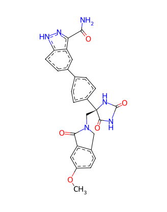 COc1ccc2c(c1)C(=O)N(C[C@@]1(c3ccc(-c4ccc5[nH]nc(C(N)=O)c5c4)cc3)NC(=O)NC1=O)C2